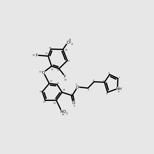 O=C(OCCc1cc[nH]c1)c1cc(Oc2c(F)cc(C(F)(F)F)cc2F)ccc1[N+](=O)[O-]